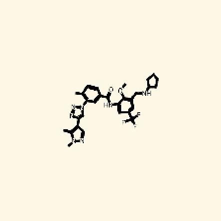 COc1c(CNC2CCCC2)cc(C(F)(F)F)cc1NC(=O)c1ccc(C)c(-n2cc(-c3cnn(C)c3C)nn2)c1